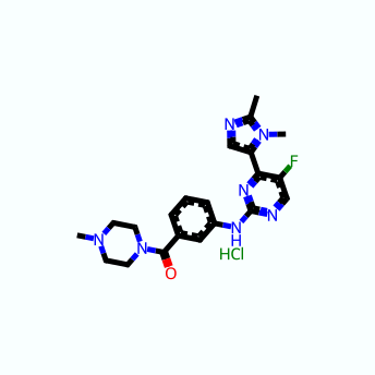 Cc1ncc(-c2nc(Nc3cccc(C(=O)N4CCN(C)CC4)c3)ncc2F)n1C.Cl